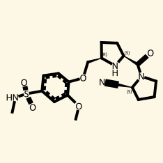 CNS(=O)(=O)c1ccc(OC[C@H]2CC[C@@H](C(=O)N3CCC[C@H]3C#N)N2)c(OC)c1